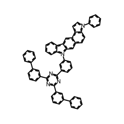 c1ccc(-c2cccc(-c3nc(-c4cccc(-c5ccccc5)c4)nc(-c4cccc(-n5c6ccccc6c6cc7c(ccc8c7ccn8-c7ccccc7)cc65)c4)n3)c2)cc1